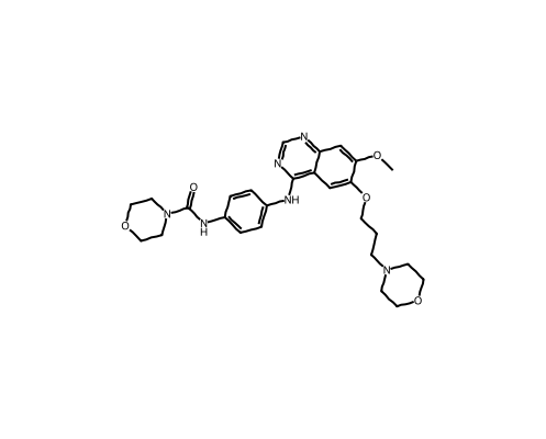 COc1cc2ncnc(Nc3ccc(NC(=O)N4CCOCC4)cc3)c2cc1OCCCN1CCOCC1